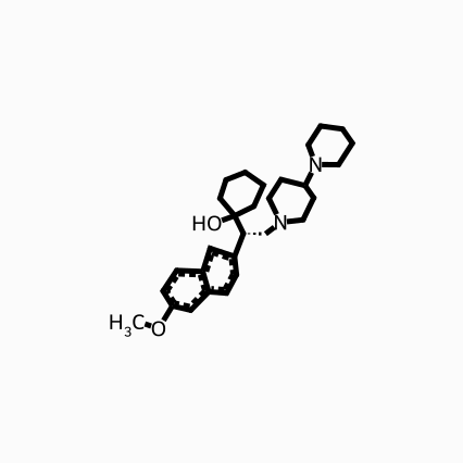 COc1ccc2cc([C@@H](CN3CCC(N4CCCCC4)CC3)C3(O)CCCCC3)ccc2c1